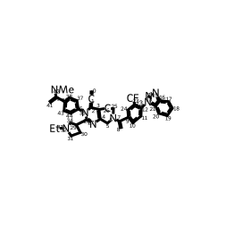 C=C=C1C2=C(CN(C(=C)c3ccc(-n4nnc5ccccc54)c(C(F)(F)F)c3)CC2)N=C(C2CCN(CC)C2)N1c1ccc(C(=C)NC)cc1